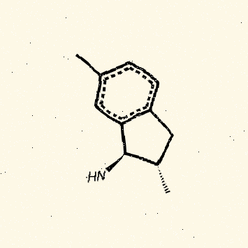 Cc1ccc2c(c1)[C@H]([NH])[C@@H](C)C2